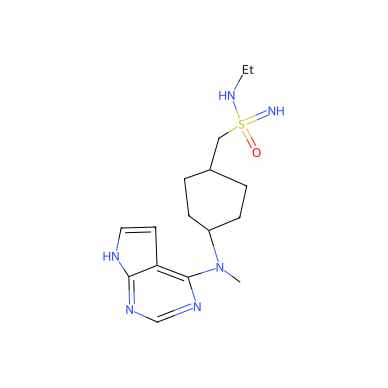 CCNS(=N)(=O)CC1CCC(N(C)c2ncnc3[nH]ccc23)CC1